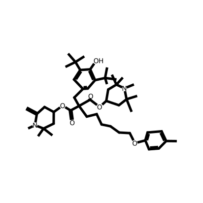 C=C1CC(OC(=O)C(CCCCCCOc2ccc(C)cc2)(Cc2cc(C(C)(C)C)c(O)c(C(C)(C)C)c2)C(=O)OC2CC(C)(C)N(C)C(C)(C)C2)CC(C)(C)N1C